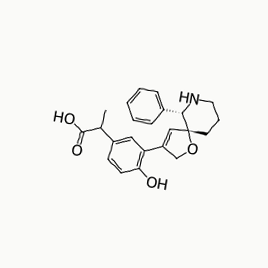 CC(C(=O)O)c1ccc(O)c(C2=C[C@@]3(CCCN[C@H]3c3ccccc3)OC2)c1